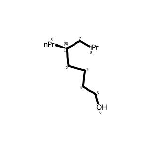 CCC[C@H](CCCCO)CC(C)C